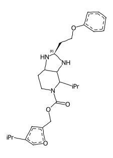 CC(C)c1coc(COC(=O)N2CCC3N[C@@H](CCOc4ccccc4)NC3C2C(C)C)c1